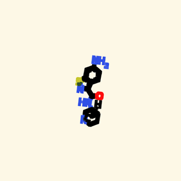 Nc1ccc2c(C(=O)N[C@@H]3CN4CCC3CC4)nsc2c1